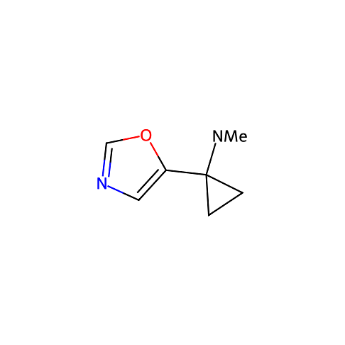 CNC1(c2cnco2)CC1